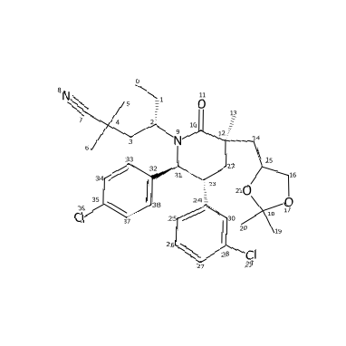 CC[C@@H](CC(C)(C)C#N)N1C(=O)[C@@](C)(CC2COC(C)(C)O2)C[C@H](c2cccc(Cl)c2)[C@H]1c1ccc(Cl)cc1